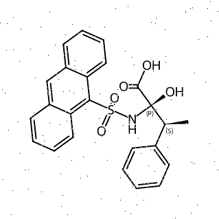 C[C@@H](c1ccccc1)[C@](O)(NS(=O)(=O)c1c2ccccc2cc2ccccc12)C(=O)O